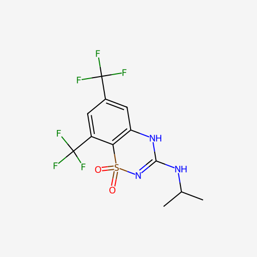 CC(C)NC1=NS(=O)(=O)c2c(cc(C(F)(F)F)cc2C(F)(F)F)N1